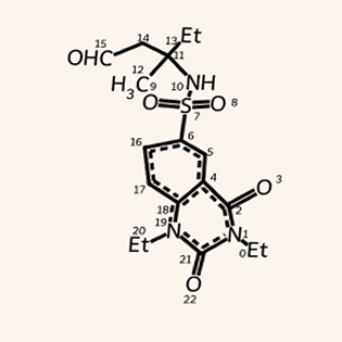 CCn1c(=O)c2cc(S(=O)(=O)NC(C)(CC)CC=O)ccc2n(CC)c1=O